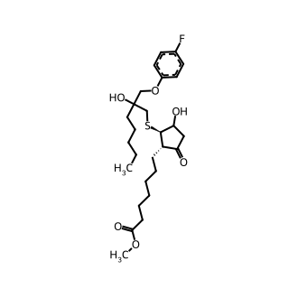 CCCCCC(O)(COc1ccc(F)cc1)CS[C@H]1C(O)CC(=O)[C@@H]1CCCCCCC(=O)OC